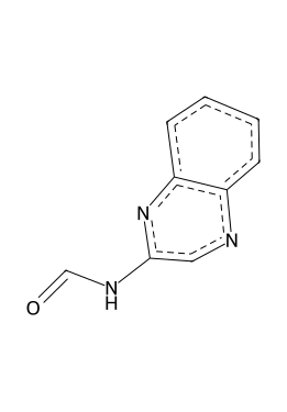 O=CNc1cnc2ccccc2n1